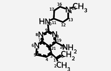 C=C(C)c1ccnc2nc(NC3CCN(C)CC3)nc(N)c12